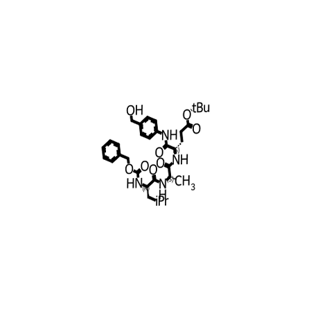 CC(C)C[C@@H](NC(=O)OCc1ccccc1)C(=O)N[C@@H](C)C(=O)N[C@@H](CCC(=O)OC(C)(C)C)C(=O)Nc1ccc(CO)cc1